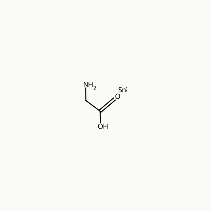 NCC(=O)O.[Sn]